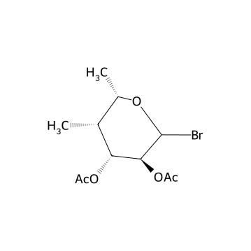 CC(=O)O[C@@H]1[C@H](C)[C@H](C)OC(Br)[C@H]1OC(C)=O